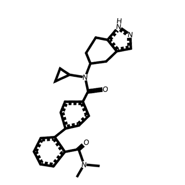 CN(C)C(=O)c1ccccc1-c1ccc(C(=O)N(C2CC2)C2CCc3[nH]ncc3C2)cc1